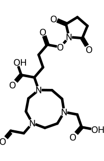 O=CCN1CCN(CC(=O)O)CCN(C(CCC(=O)ON2C(=O)CCC2=O)C(=O)O)CC1